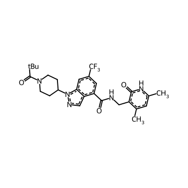 Cc1cc(C)c(CNC(=O)c2cc(C(F)(F)F)cc3c2cnn3C2CCN(C(=O)C(C)(C)C)CC2)c(=O)[nH]1